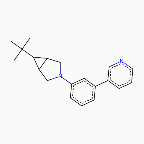 CC(C)(C)C1C2CN(c3cccc(-c4cccnc4)c3)CC21